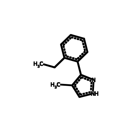 CCc1ccccc1-c1n[nH]cc1C